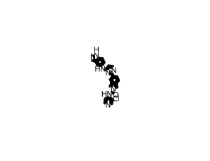 O=C(Nc1ccncc1Cl)n1cc2ccc(-c3nccc(Nc4ccc5[nH]ncc5c4)n3)cc2c1